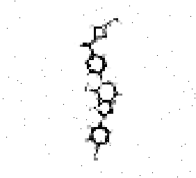 CN1CC(C(=O)c2ccc(N3CCc4cc(-c5ccc(Cl)cc5)sc4C3=O)cc2)C1